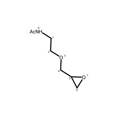 CC(=O)NCCOCC1CO1